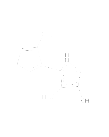 CC1=CC[C]=C1c1[nH]cc(C)c1C